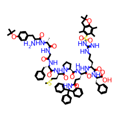 CSCC[C@@H](NC(=O)[C@H](Cc1ccccc1)NC(=O)CNC(=O)[C@@H](C)NC(=O)[C@@H](N)Cc1ccc(OC(C)(C)C)cc1)C(=O)N1CCC[C@H]1C(=O)N[C@@H](CCC(=O)NC(c1ccccc1)(c1ccccc1)c1ccccc1)C(=O)N[C@@H](CCCNC(=N)NS(=O)(=O)c1c(C)c(C)c2c(c1C)CC(C)(C)O2)C(=O)N[C@@H](Cc1ccccc1)C(=O)O